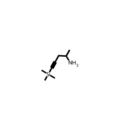 CC(N)CC#C[Si](C)(C)C